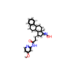 COc1ccnc(NC(=O)CC[C@@H]2C/C(=N\O)[C@@]3(C)CCC4c5ccccc5CCC4C23)c1